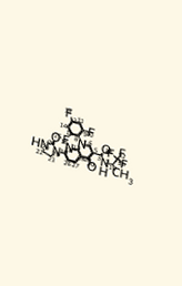 CC(NC(=O)c1cn(-c2c(F)cc(F)cc2F)c2nc(N3CCNC3=O)ccc2c1=O)C(F)(F)F